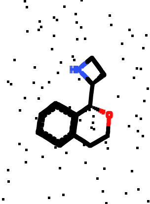 c1ccc2c(c1)CCO[C@H]2[C@@H]1CCN1